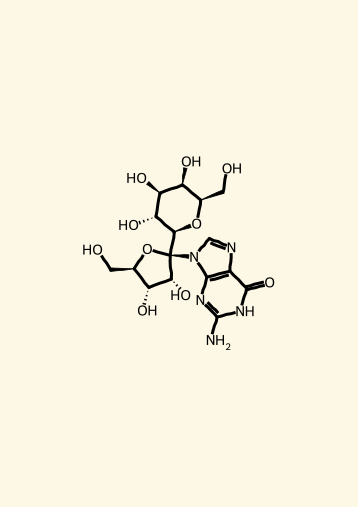 Nc1nc2c(ncn2[C@]2([C@@H]3O[C@H](CO)[C@H](O)[C@H](O)[C@H]3O)O[C@H](CO)[C@@H](O)[C@H]2O)c(=O)[nH]1